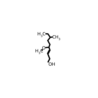 CCC(C)CCC(C=CCCO)OC